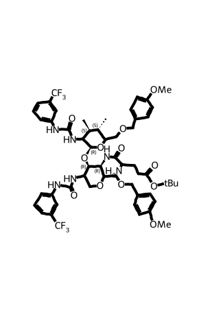 COc1ccc(COCC2O[C@@H](O[C@@H]3C(NC(=O)Nc4cccc(C(F)(F)F)c4)COC(COCc4ccc(OC)cc4)[C@@H]3NC(=O)C(N)CCC(=O)OC(C)(C)C)C(NC(=O)Nc3cccc(C(F)(F)F)c3)[C@@H](C)[C@@H]2C)cc1